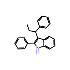 CCC(c1ccccc1)c1c(-c2ccccc2)[nH]c2ccccc12